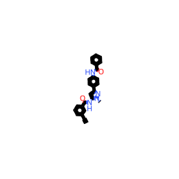 C#Cc1cccc(C(=O)Nc2cc(-c3ccc(NC(=O)c4ccccc4)cc3)nn2C)c1